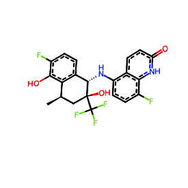 C[C@@H]1C[C@@](O)(C(F)(F)F)[C@@H](Nc2ccc(F)c3[nH]c(=O)ccc23)c2ccc(F)c(O)c21